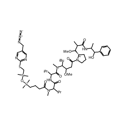 CCC(C)C(C(CC(=O)N1CCC[C@@H]1C(OC)C(C)C(=O)NC(C)C(O)c1ccccc1)OC)N(C)C(=O)C(NC(=O)C(C(C)C)N(C)C(=O)CCC[Si](C)(C)O[Si](C)(C)CSc1ncc(CN=[N+]=[N-])cn1)C(C)C